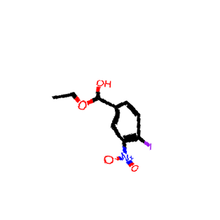 CCOC(O)c1ccc(I)c([N+](=O)[O-])c1